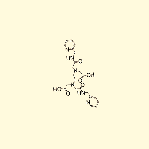 O=C(O)CN(CCN(CC(=O)O)CC(=O)NCc1ccccn1)CC(=O)NCc1ccccn1